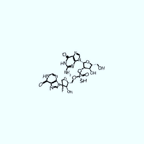 Nc1nc2c(ncn2[C@@H]2O[C@H](CO)[C@@H](O)[C@H]2O[P@](=O)(S)OC[C@H]2OCC(F)(n3cnc4c(=O)[nH]cnc43)[C@@H]2O)c(=O)[nH]1